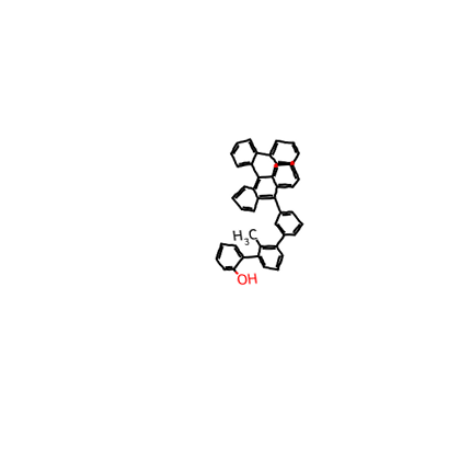 Cc1c(-c2cccc(-c3c4ccccc4c(-c4ccccc4-c4ccccc4)c4ccccc34)c2)cccc1-c1ccccc1O